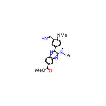 CNc1ccc(-c2nc3ccc(C(=O)OC)cc3nc2N(C)C(C)C)cc1C=N